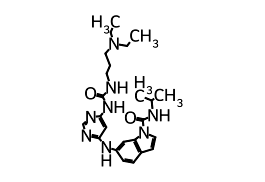 CCN(CC)CCCNC(=O)Nc1cc(Nc2ccc3ccn(C(=O)NC(C)C)c3c2)ncn1